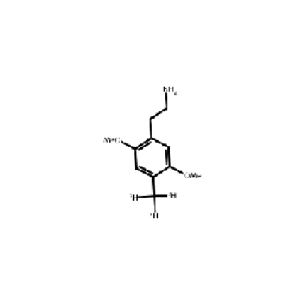 [2H]C([2H])([2H])c1cc(OC)c(CCN)cc1OC